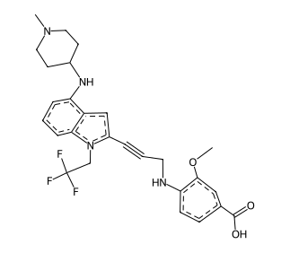 COc1cc(C(=O)O)ccc1NCC#Cc1cc2c(NC3CCN(C)CC3)cccc2n1CC(F)(F)F